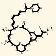 COC(=O)/C=C1\CC2CC(=O)OC(/C=C/C=C\C=C\CC(=O)N3CCCCC3)C(C)/C=C/C(C)CC3CCCC(CC(C1)O2)O3